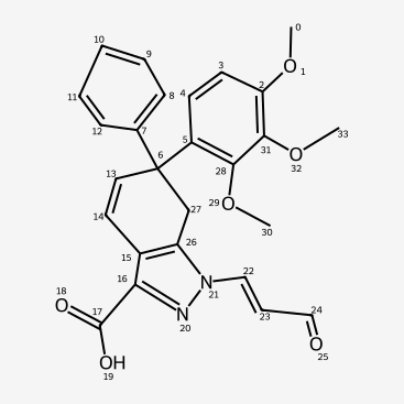 COc1ccc(C2(c3ccccc3)C=Cc3c(C(=O)O)nn(C=CC=O)c3C2)c(OC)c1OC